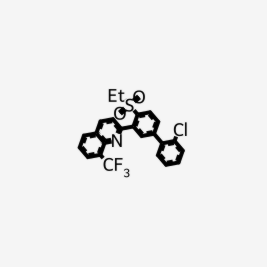 CCS(=O)(=O)c1ccc(-c2ccccc2Cl)cc1-c1ccc2cccc(C(F)(F)F)c2n1